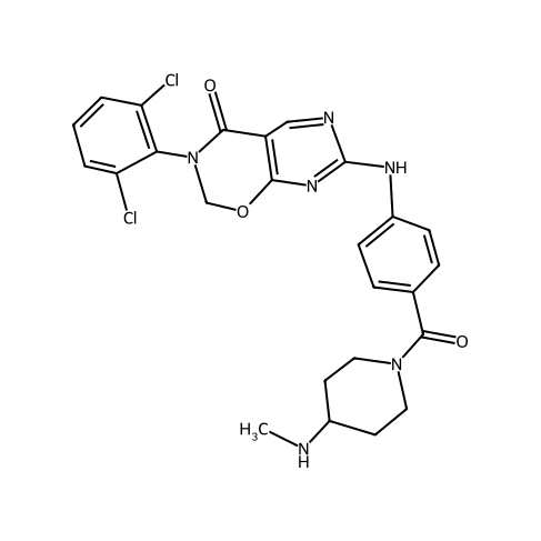 CNC1CCN(C(=O)c2ccc(Nc3ncc4c(n3)OCN(c3c(Cl)cccc3Cl)C4=O)cc2)CC1